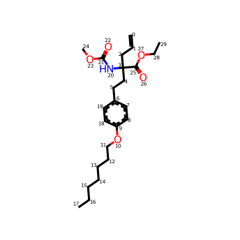 C=CCC(CCc1ccc(OCCCCCCC)cc1)(NC(=O)OC)C(=O)OCC